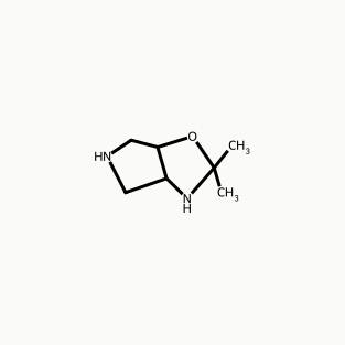 CC1(C)NC2CNCC2O1